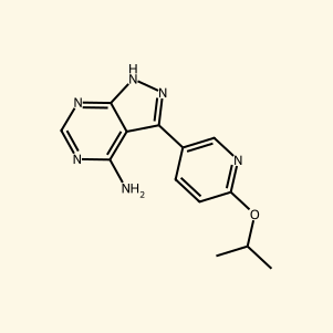 CC(C)Oc1ccc(-c2n[nH]c3ncnc(N)c23)cn1